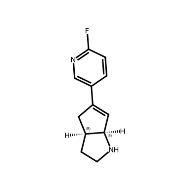 Fc1ccc(C2=C[C@H]3NCC[C@H]3C2)cn1